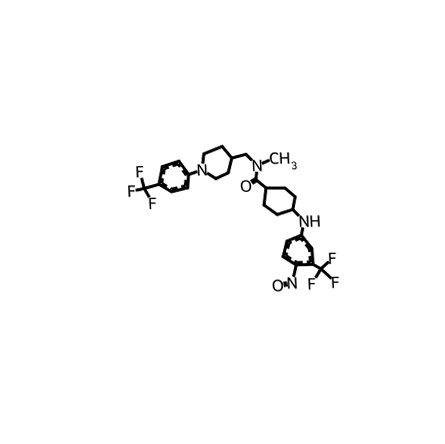 CN(CC1CCN(c2ccc(C(F)(F)F)cc2)CC1)C(=O)C1CCC(Nc2ccc(N=O)c(C(F)(F)F)c2)CC1